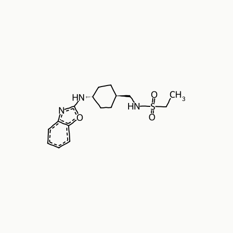 CCS(=O)(=O)NC[C@H]1CC[C@H](Nc2nc3ccccc3o2)CC1